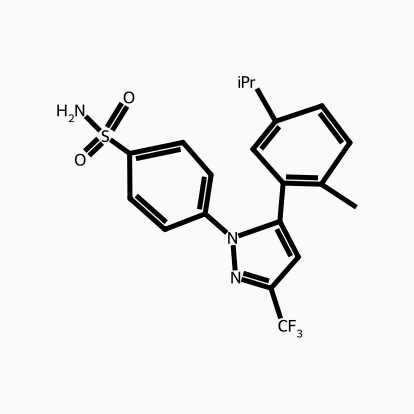 Cc1ccc(C(C)C)cc1-c1cc(C(F)(F)F)nn1-c1ccc(S(N)(=O)=O)cc1